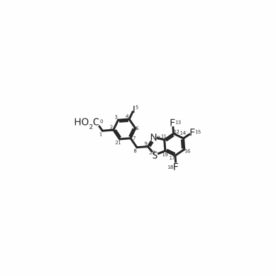 O=C(O)Cc1cc(I)cc(Cc2nc3c(F)c(F)cc(F)c3s2)c1